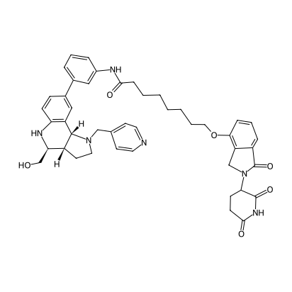 O=C1CCC(N2Cc3c(OCCCCCCCC(=O)Nc4cccc(-c5ccc6c(c5)[C@H]5[C@H](CCN5Cc5ccncc5)[C@@H](CO)N6)c4)cccc3C2=O)C(=O)N1